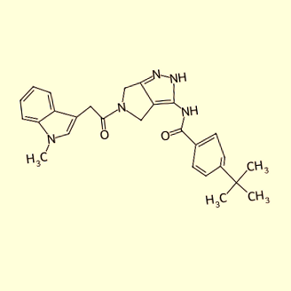 Cn1cc(CC(=O)N2Cc3n[nH]c(NC(=O)c4ccc(C(C)(C)C)cc4)c3C2)c2ccccc21